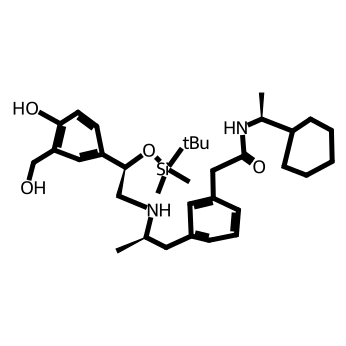 C[C@H](Cc1cccc(CC(=O)N[C@@H](C)C2CCCCC2)c1)NC[C@H](O[Si](C)(C)C(C)(C)C)c1ccc(O)c(CO)c1